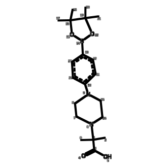 CC(C)(C(=O)O)N1CCN(c2ccc(B3OC(C)(C)C(C)(C)O3)cc2)CC1